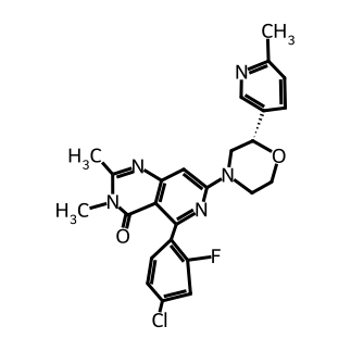 Cc1ccc([C@H]2CN(c3cc4nc(C)n(C)c(=O)c4c(-c4ccc(Cl)cc4F)n3)CCO2)cn1